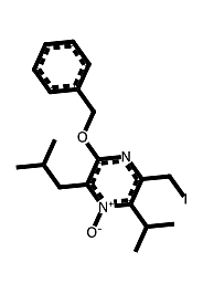 CC(C)Cc1c(OCc2ccccc2)nc(CI)c(C(C)C)[n+]1[O-]